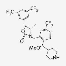 COC(c1ccc(C(F)(F)F)cc1CN1C(=O)O[C@H](c2cc(C(F)(F)F)cc(C(F)(F)F)c2)[C@@H]1C)C1CCNCC1